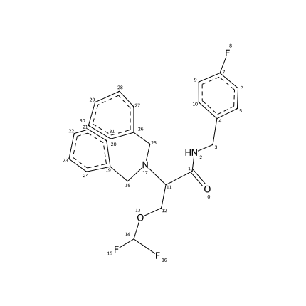 O=C(NCc1ccc(F)cc1)C(COC(F)F)N(Cc1ccccc1)Cc1ccccc1